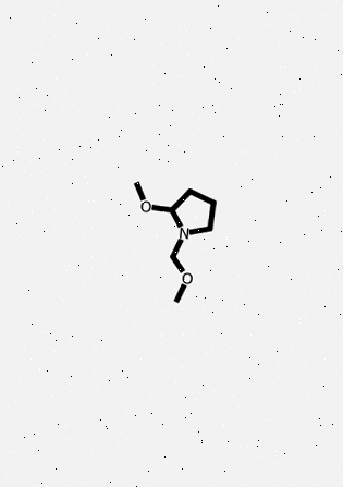 COCN1CCCC1OC